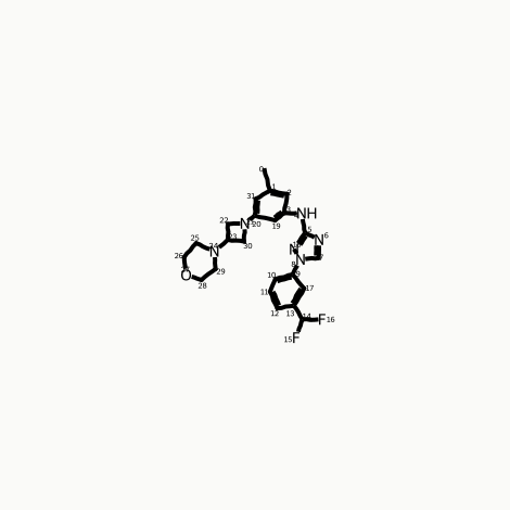 Cc1cc(Nc2ncn(-c3cccc(C(F)F)c3)n2)cc(N2CC(N3CCOCC3)C2)c1